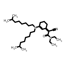 CCN(CC)C(=O)/C(C#N)=C1\C=C(N(CCCCCCC(C)C)CCCCCCC(C)C)CCC1